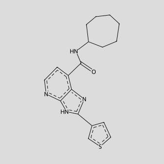 O=C(NC1CCCCCC1)c1ccnc2[nH]c(-c3ccsc3)nc12